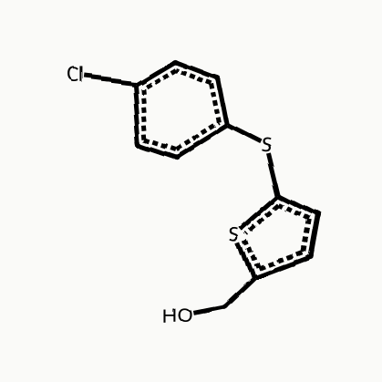 OCc1ccc(Sc2ccc(Cl)cc2)s1